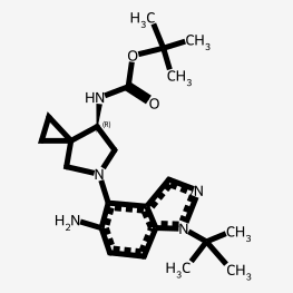 CC(C)(C)OC(=O)N[C@H]1CN(c2c(N)ccc3c2cnn3C(C)(C)C)CC12CC2